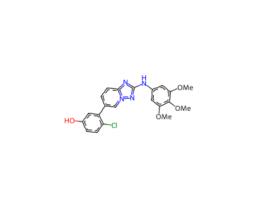 COc1cc(Nc2nc3ccc(-c4cc(O)ccc4Cl)cn3n2)cc(OC)c1OC